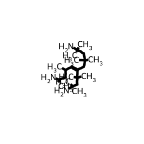 CC(N)CC(C)/C=C(/CC(C)(C)CC(C)(C)N)C(C)(C)CC(C)(C)N